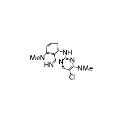 CNc1cccc(Nc2ncc(Cl)c(NC)n2)c1C=N